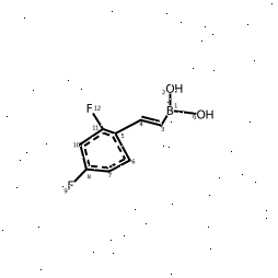 OB(O)C=Cc1ccc(F)cc1F